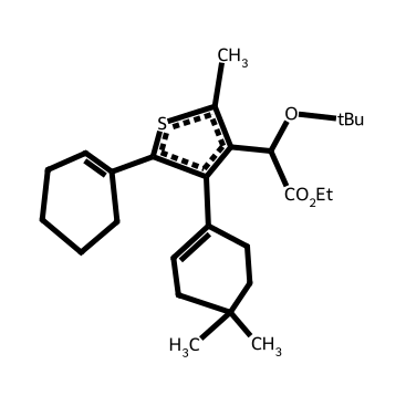 CCOC(=O)C(OC(C)(C)C)c1c(C)sc(C2=CCCCC2)c1C1=CCC(C)(C)CC1